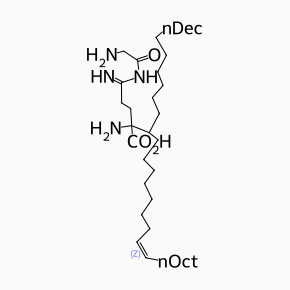 CCCCCCCC/C=C\CCCCCCCC(CCCCCCCCCCCCCCCC)C(N)(CCC(=N)NC(=O)CN)C(=O)O